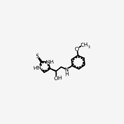 COc1cccc(NCC(O)c2c[nH]c(=S)[nH]2)c1